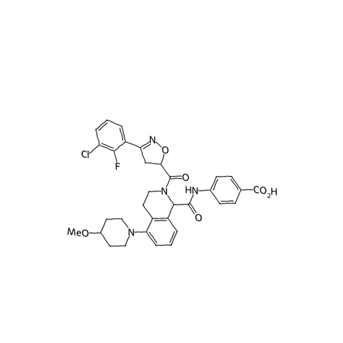 COC1CCN(c2cccc3c2CCN(C(=O)C2CC(c4cccc(Cl)c4F)=NO2)C3C(=O)Nc2ccc(C(=O)O)cc2)CC1